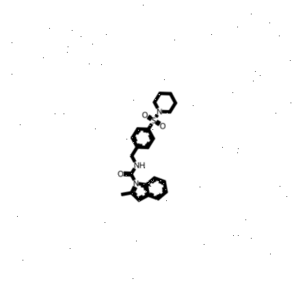 Cc1cc2ccccc2n1C(=O)NCc1ccc(S(=O)(=O)N2CCCCC2)cc1